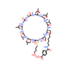 CC[C@@H]1NC(=O)[C@H](C[C@H](C)CCCCCCNC(=O)c2ccc(C(=O)O)cc2)N(C)C(=O)[C@H](C(C)C)N(C)C(=O)[C@H](CC(C)C)N(C)C(=O)[C@H](CC(C)C)N(C)C(=O)[C@H](C)NC(=O)[C@@H](C)NC(=O)[C@@H](CC(C)C)N(C)C(=O)[C@@H](C(C)C)NC(=O)[C@H](CC(C)C)N(C)C(=O)[C@@H](CSCCCCO)N(C)C1=O